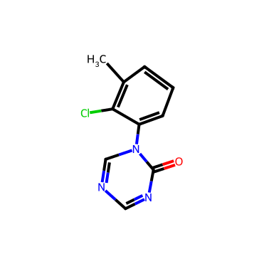 Cc1cccc(-n2cncnc2=O)c1Cl